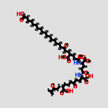 CC(C)C(=O)CC[C@H](CCCC(=O)CCC(NC(=O)CCC(NC(=O)CCC(CCC(=O)CCCCCCCCCCCCCCCCC(=O)O)C(=O)O)C(=O)O)C(=O)O)C(=O)O